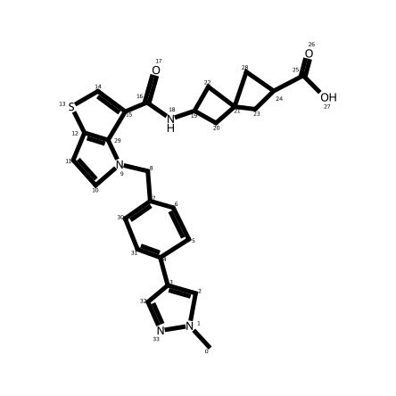 Cn1cc(-c2ccc(Cn3ccc4scc(C(=O)NC5CC6(C5)CC(C(=O)O)C6)c43)cc2)cn1